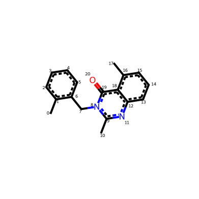 Cc1ccccc1Cn1c(C)nc2cccc(C)c2c1=O